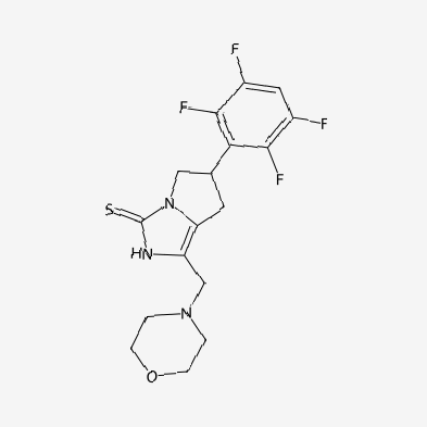 Fc1cc(F)c(F)c(C2Cc3c(CN4CCOCC4)[nH]c(=S)n3C2)c1F